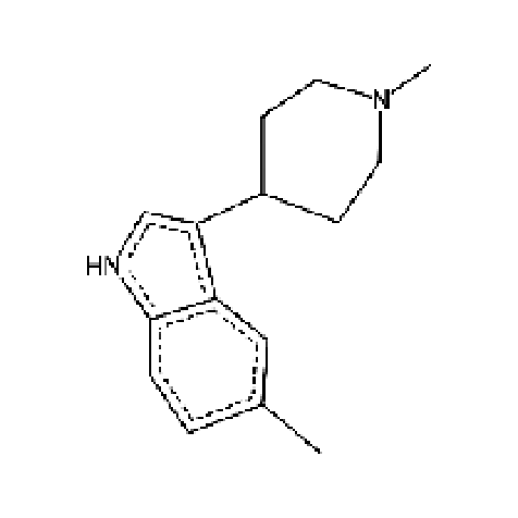 Cc1ccc2[nH]cc(C3CCN(C)CC3)c2c1